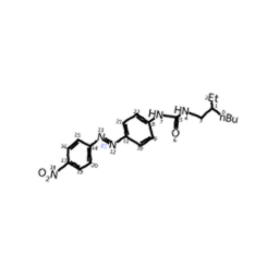 CCCCC(CC)CNC(=O)Nc1ccc(/N=N/c2ccc([N+](=O)[O-])cc2)cc1